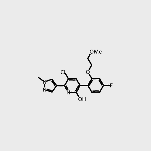 COCCOc1cc(F)ccc1-c1cc(Cl)c(-c2cnn(C)c2)nc1O